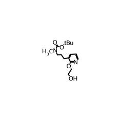 CN(CCCc1cccnc1OCCO)C(=O)OC(C)(C)C